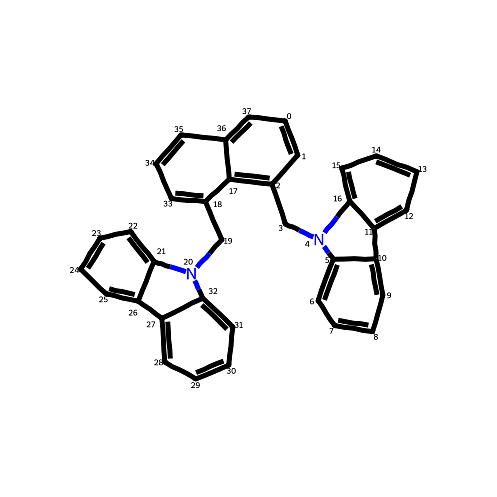 c1cc(Cn2c3ccccc3c3ccccc32)c2c(Cn3c4ccccc4c4ccccc43)cccc2c1